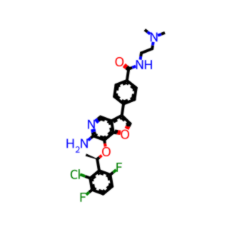 C[C@@H](Oc1c(N)ncc2c(-c3ccc(C(=O)NCCN(C)C)cc3)coc12)c1c(F)ccc(F)c1Cl